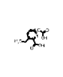 CC(=O)O.CCc1cccnc1C(=O)O